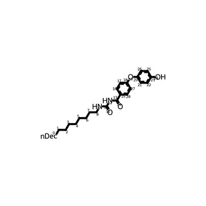 CCCCCCCCCCCCCCCCCCNC(=O)NC(=O)c1ccc(Oc2ccc(O)cc2)cc1